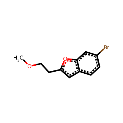 COCCc1cc2ccc(Br)cc2o1